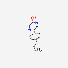 C=CCc1ccc(-c2cnc(O)cn2)cc1